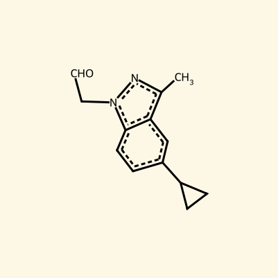 Cc1nn(CC=O)c2ccc(C3CC3)cc12